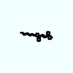 [CH2]CCCCCOC(=O)/C=C/C([O])=O